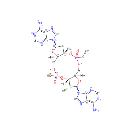 CC(C)SP1(=O)OC[C@H]2O[C@@H](n3cnc4c(N)ncnc43)[C@H](F)[C@@H]2OP(=O)(S)OC[C@H]2O[C@@H](n3cnc4c(N)ncnc43)C[C@@H]2O1